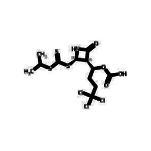 CC(C)SC(=S)S[C@H]1NC(=O)[C@H]1C(CCC(Cl)(Cl)Cl)OC(=O)O